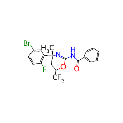 C[C@]1(c2cc(Br)ccc2F)C[C@H](C(F)(F)F)OC(NC(=O)c2ccccc2)=N1